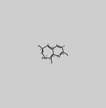 CC1=CNC(C)=c2nc(C)ccc2=C1